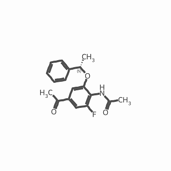 CC(=O)Nc1c(F)cc(C(C)=O)cc1O[C@@H](C)c1ccccc1